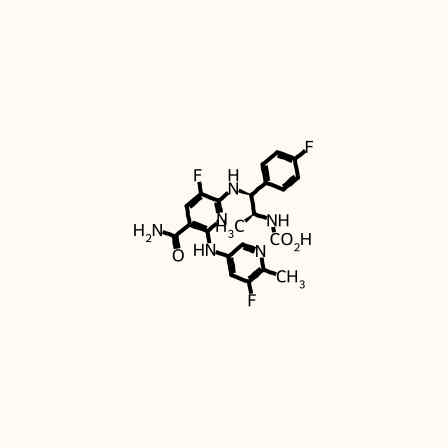 Cc1ncc(Nc2nc(N[C@@H](c3ccc(F)cc3)[C@H](C)NC(=O)O)c(F)cc2C(N)=O)cc1F